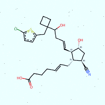 N#C[C@@H]1C[C@@H](O)[C@H](C=CCC(O)C2(Cc3ccc(Cl)s3)CCC2)[C@H]1CC=CCCCC(=O)O